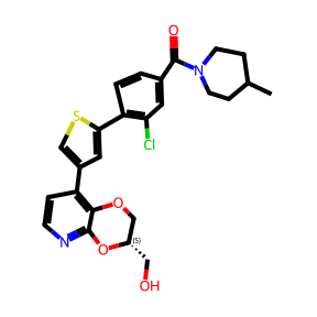 CC1CCN(C(=O)c2ccc(-c3cc(-c4ccnc5c4OC[C@H](CO)O5)cs3)c(Cl)c2)CC1